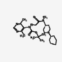 Cc1ncnc(C)c1N(OCC(=O)N(C)C1CCN(C2CCCCC2)CC1)C(=O)OC(C)(C)C